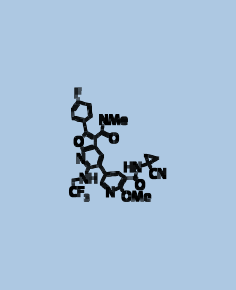 CNC(=O)c1c(-c2ccc(F)cc2)oc2nc(NCC(F)(F)F)c(-c3cnc(OC)c(C(=O)NC4(C#N)CC4)c3)cc12